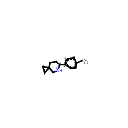 FC(F)(F)c1ccc(C2CCC3(CC3)CN2)cc1